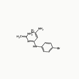 C=C(N)/N=C(\C=C(N)N)Nc1ccc(Br)cc1